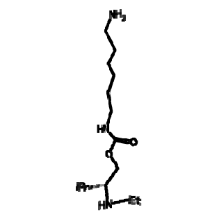 CCN[C@@H](COC(=O)NCCCCCCN)C(C)C